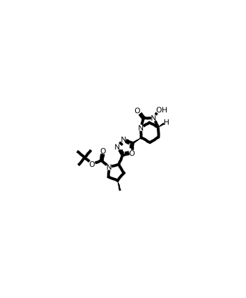 C[C@@H]1CC(c2nnc([C@@H]3CC[C@@H]4CN3C(=O)N4O)o2)N(C(=O)OC(C)(C)C)C1